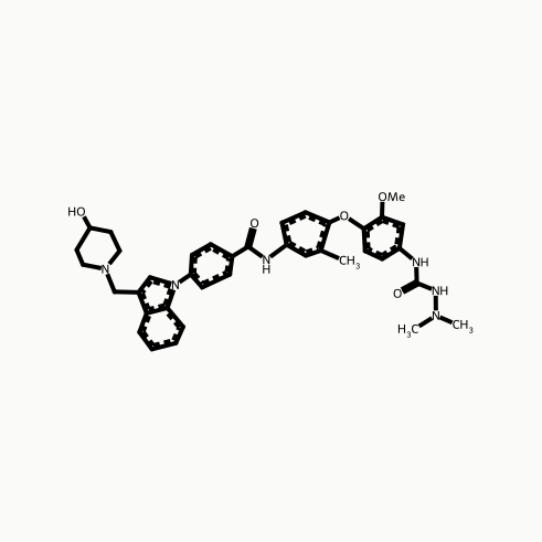 COc1cc(NC(=O)NN(C)C)ccc1Oc1ccc(NC(=O)c2ccc(-n3cc(CN4CCC(O)CC4)c4ccccc43)cc2)cc1C